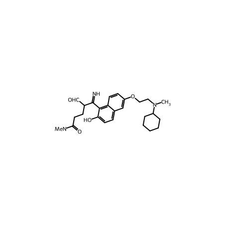 CNC(=O)CCC(C=O)C(=N)c1c(O)ccc2cc(OCCN(C)C3CCCCC3)ccc12